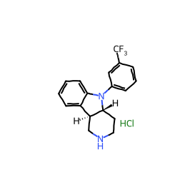 Cl.FC(F)(F)c1cccc(N2c3ccccc3[C@@H]3CNCC[C@H]32)c1